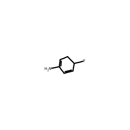 NC1=CCC(F)C=C1